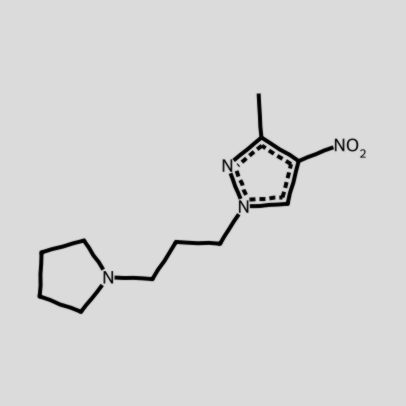 Cc1nn(CCCN2CCCC2)cc1[N+](=O)[O-]